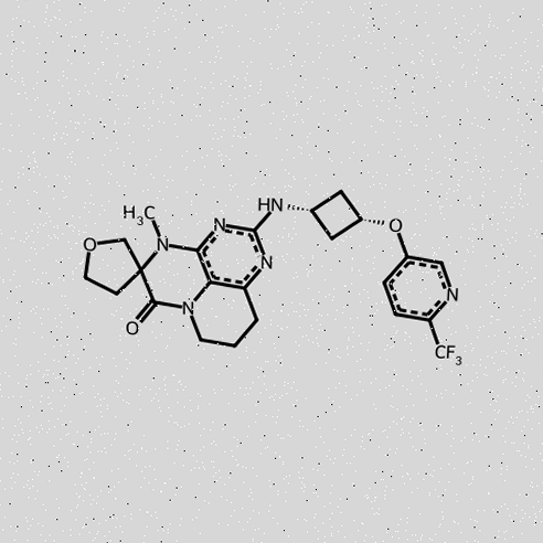 CN1c2nc(N[C@H]3C[C@@H](Oc4ccc(C(F)(F)F)nc4)C3)nc3c2N(CCC3)C(=O)C12CCOC2